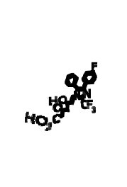 O=C(O)CC(=O)CC(O)/C=C/n1c(C(F)(F)F)nc(-c2ccc(F)cc2)c1-c1ccccc1